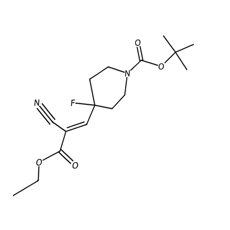 CCOC(=O)/C(C#N)=C/C1(F)CCN(C(=O)OC(C)(C)C)CC1